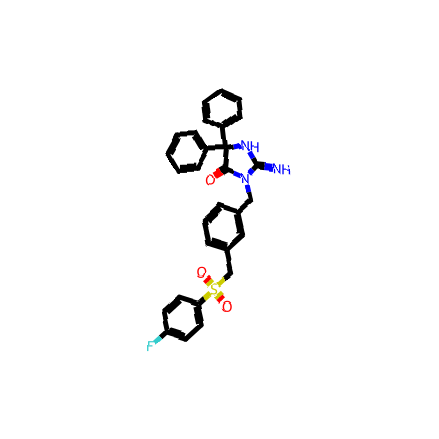 N=C1NC(c2ccccc2)(c2ccccc2)C(=O)N1Cc1cccc(CS(=O)(=O)c2ccc(F)cc2)c1